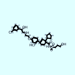 Cl.O=C(NS(=O)(=O)CCCO)c1ccc(-c2ccc(OCCNC[C@@H](O)c3cccc(Cl)c3)cc2)cc1C1CCCC1